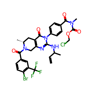 C=CC(C)Nc1nc2c(c(=O)n1-c1ccc(C(=O)N(C)C(=O)OCCl)cc1)C[C@@H](C)N(C(=O)c1ccc(Br)c(C(F)(F)F)c1)C2